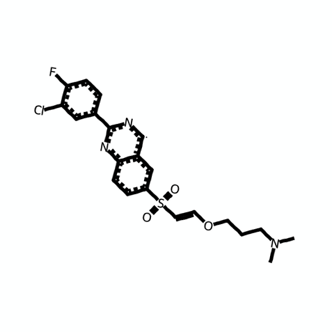 CN(C)CCCOC=CS(=O)(=O)c1ccc2nc(-c3ccc(F)c(Cl)c3)n[c]c2c1